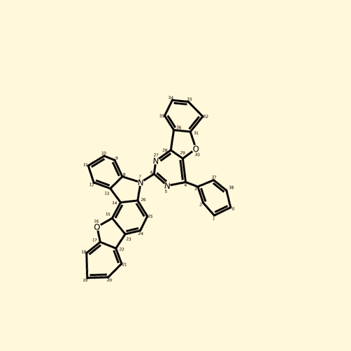 c1ccc(-c2nc(-n3c4ccccc4c4c5oc6ccccc6c5ccc43)nc3c2oc2ccccc23)cc1